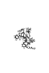 COc1cccc(CN(C[C@@H](O)[C@H](Cc2cc(F)cc(F)c2)NC(=O)c2cc(NC(=O)c3ccccc3)cc(/C(C)=N\O)c2)C(=O)OC(C)(C)C)c1